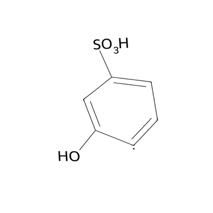 O=S(=O)(O)c1cc[c]c(O)c1